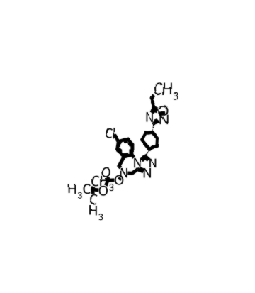 CCc1nc([C@H]2CC[C@@H](c3nnc4n3-c3ccc(Cl)cc3CN(OC(=O)OC(C)(C)C)C4)CC2)no1